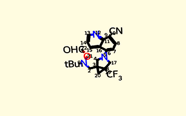 CC(C)(C)N(CC12CN(c3ccc(C#N)c4ncccc34)CC1(C(F)(F)F)C2)OC=O